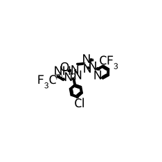 N[C@H](Cn1c(-c2ccc(Cl)cc2)nn(Cc2ncn(-c3ncccc3C(F)(F)F)n2)c1=O)C(F)(F)F